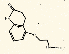 CNCCOc1cccc2c1CCC(=O)N2